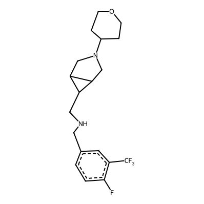 Fc1ccc(CNCC2C3CN(C4CCOCC4)CC23)cc1C(F)(F)F